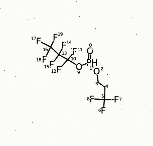 O=[PH](OCCC(F)(F)F)OC(F)(F)C(F)(F)C(F)(F)F